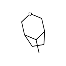 CC1C2CCC1COC2